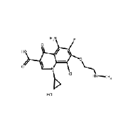 CNCCOc1c(F)c(N)c2c(=O)c(C(=O)O)cn(C3CC3)c2c1Cl.Cl